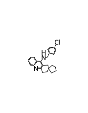 Clc1ccc(CNc2c3c(nc4ccccc24)CCC2(CCCC2)C3)cc1